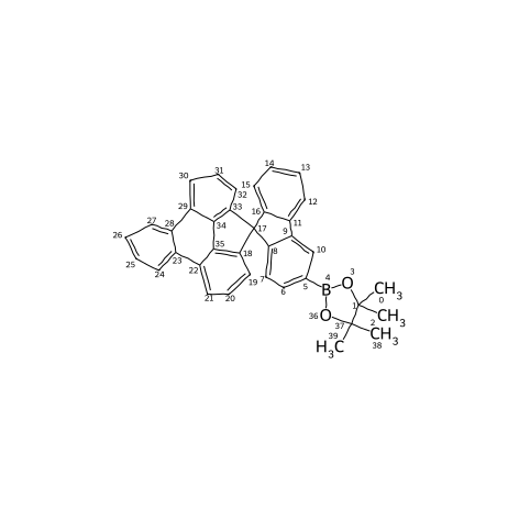 CC1(C)OB(c2ccc3c(c2)-c2ccccc2C32c3cccc4c5ccccc5c5cccc2c5c34)OC1(C)C